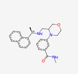 CNC(=O)c1cccc(N2CCOCC2CN[C@H](C)c2cccc3ccccc23)c1